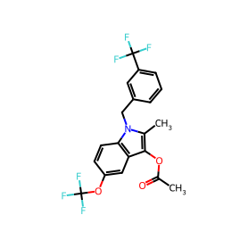 CC(=O)Oc1c(C)n(Cc2cccc(C(F)(F)F)c2)c2ccc(OC(F)(F)F)cc12